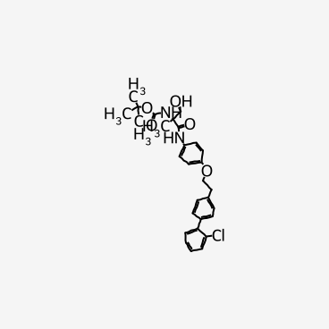 CC(C)(C)OC(=O)NC(C)(CO)C(=O)Nc1ccc(OCCc2ccc(-c3ccccc3Cl)cc2)cc1